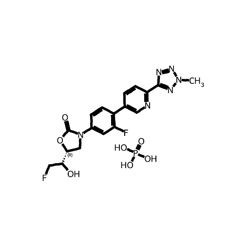 Cn1nnc(-c2ccc(-c3ccc(N4C[C@H](C(O)CF)OC4=O)cc3F)cn2)n1.O=P(O)(O)O